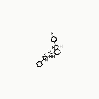 O=C(Nc1nc(-c2ccccc2)cs1)c1ccnc2[nH]c(-c3ccc(F)cc3)nc12